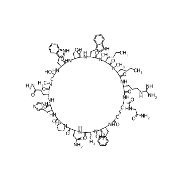 CCCC[C@H]1C(=O)N(C)[C@@H](CCCC)C(=O)N[C@@H](CCCNC(=N)N)C(=O)N[C@H](C(=O)NCC(N)=O)CSCC(=O)N[C@@H](Cc2ccccc2)C(=O)N(C)[C@@H](C)C(=O)N[C@@H](CC(N)=O)C(=O)N2CCC[C@H]2C(=O)N[C@@H](Cc2cnc[nH]2)C(=O)N[C@@H](CCC(N)=O)C(=O)N(C)CC(O)N[C@@H](Cc2c[nH]c3ccccc23)C(=O)N[C@@H](CO)C(=O)N[C@@H](Cc2c[nH]c3ccccc23)C(=O)N1C